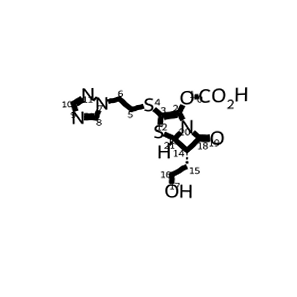 O=C(O)OC1=C(SCCn2cncn2)S[C@@H]2[C@@H](CCO)C(=O)N12